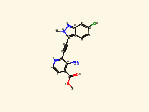 COC(=O)c1ccnc(C#Cc2c3ccc(Cl)cc3nn2C)c1N